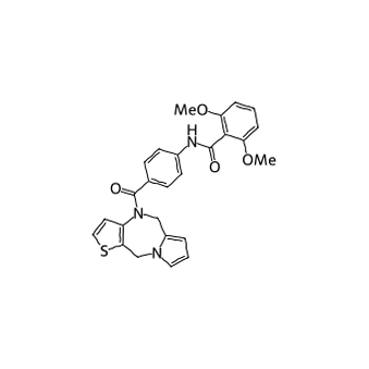 COc1cccc(OC)c1C(=O)Nc1ccc(C(=O)N2Cc3cccn3Cc3sccc32)cc1